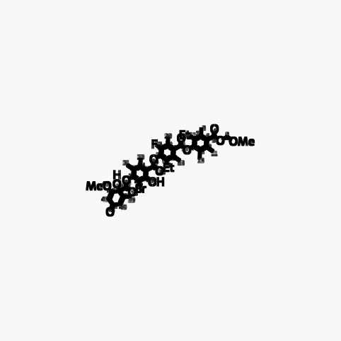 CCc1c(C)c(C(=O)OCOC)c(C)c(C)c1OC(=O)c1c(C)c(F)c(OC(=O)c2c(C)c(C)c(OC(=O)[C@@]3(O)C(C)=CC(=O)C=C3OC)c(Br)c2O)c(CC)c1C